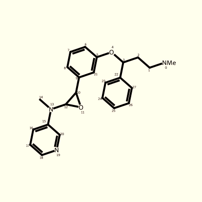 CNCCC(Oc1cccc(C2OC2N(C)c2cccnc2)c1)c1ccccc1